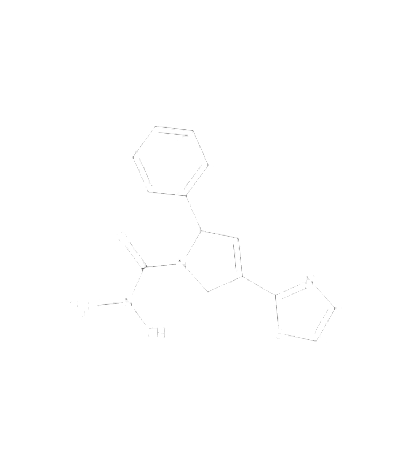 CN(C)C(=O)N1CC(c2nccs2)=CC1c1ccccc1